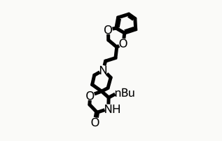 CCCCC1NC(=O)COC12CCN(CCC1COc3ccccc3O1)CC2